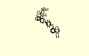 C[C@@H]1OCC2(CCN(c3cnc(Sc4cccc5c4OCCN5)cn3)CC2)[C@@H]1NC(=O)OC(C)(C)C